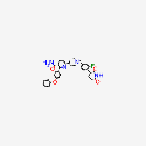 NC(=O)c1ccc(C2CCN(Cc3ccc(C4CCC(=O)NC4=O)c(F)c3)CC2)nc1-c1ccc(Oc2ccccc2)cc1